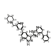 Fc1ccccc1-c1ccnc2[nH]c(-c3n[nH]c4c(F)cc(-c5cncc(CN6CCCCC6)c5)cc34)nc12